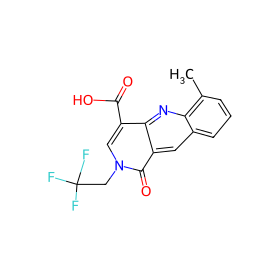 Cc1cccc2cc3c(=O)n(CC(F)(F)F)cc(C(=O)O)c3nc12